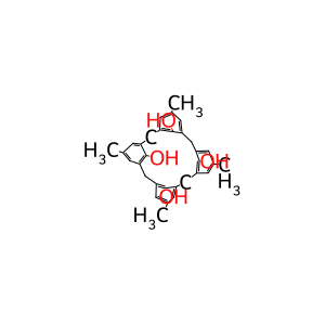 Cc1cc2c(O)c(c1)Cc1cc(C)cc(c1O)Cc1cc(C)cc(c1O)Cc1cc(C)cc(c1O)C2